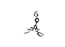 CC(C)N1CCN(c2ccc(-c3cc(C4=CCN(C(=O)OC(C)(C)C)CC4)c4nc(C5CCOCC5)n(C)c4c3)cc2)CC1